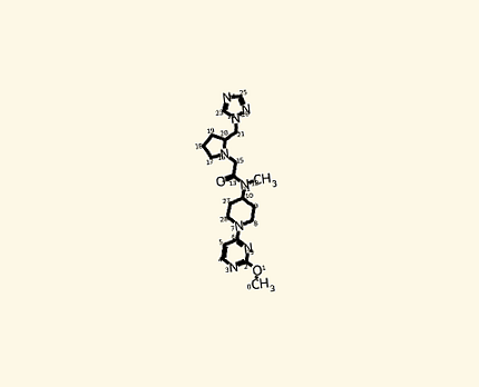 COc1nccc(N2CCC(N(C)C(=O)CN3CCCC3Cn3cncn3)CC2)n1